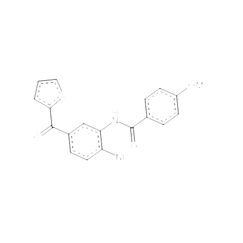 COc1ccc(C(=O)Nc2cc(C(=O)c3cccs3)ccc2N)cc1